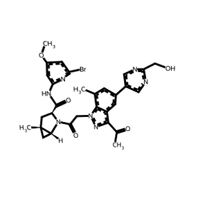 COc1cc(Br)nc(NC(=O)[C@@H]2C[C@@]3(C)C[C@H]3N2C(=O)Cn2nc(C(C)=O)c3cc(-c4cnc(CO)nc4)cc(C)c32)c1